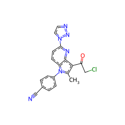 Cc1c(C(=O)CCl)c2nc(-n3ccnn3)ccc2n1-c1ccc(C#N)cc1